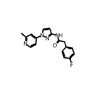 Cc1cc(-n2ccc(NC(=O)Cc3ccc(F)cc3)n2)ccn1